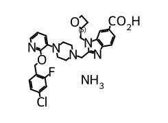 N.O=C(O)c1ccc2nc(CN3CCN(c4cccnc4OCc4ccc(Cl)cc4F)CC3)n(C[C@@H]3CCO3)c2c1